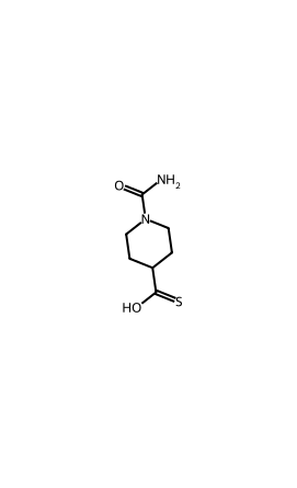 NC(=O)N1CCC(C(O)=S)CC1